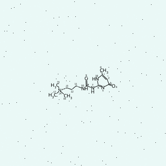 Cc1cc(=O)nc(NC(=O)NCCC[N+](C)(C)C)[nH]1